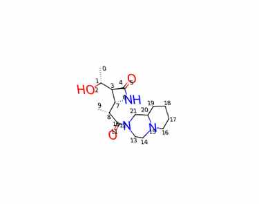 C[C@@H](O)[C@H]1C(=O)N[C@@H]1[C@@H](C)C(=O)N1CCN2CCCCC2C1